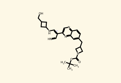 CC(C)(C)OC(=O)N1CC(Cc2ccc3ncc(/C(C=N)=C/NC4CC(CO)C4)nc3c2)C1